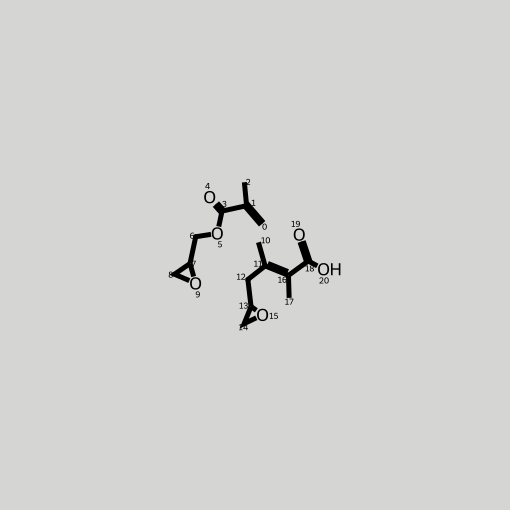 C=C(C)C(=O)OCC1CO1.CC(CC1CO1)=C(C)C(=O)O